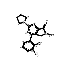 CC(C)N1Cc2c(nc(N3CCCC3)nc2-c2cccc(Cl)c2Cl)C1=O